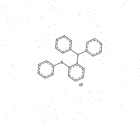 [Cl-].c1ccc(Sc2ccccc2[S+](c2ccccc2)c2ccccc2)cc1